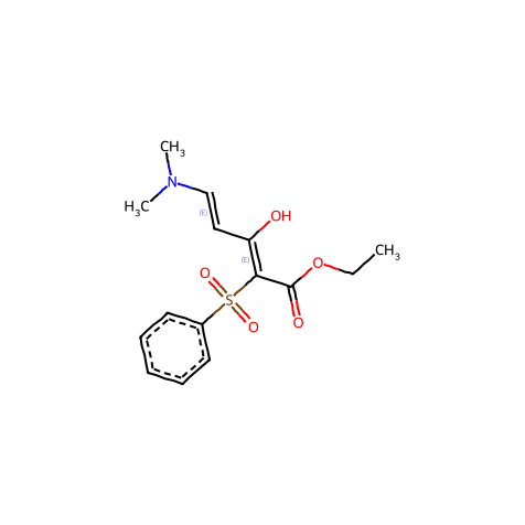 CCOC(=O)/C(=C(O)/C=C/N(C)C)S(=O)(=O)c1ccccc1